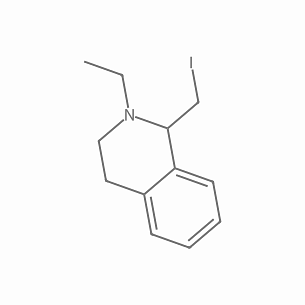 CCN1CCc2ccccc2C1CI